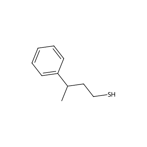 CC(CCS)c1ccccc1